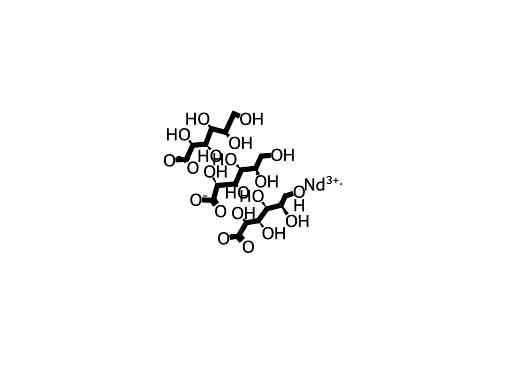 O=C([O-])[C@H](O)[C@@H](O)[C@H](O)[C@H](O)CO.O=C([O-])[C@H](O)[C@@H](O)[C@H](O)[C@H](O)CO.O=C([O-])[C@H](O)[C@@H](O)[C@H](O)[C@H](O)CO.[Nd+3]